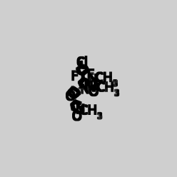 Cc1nc2c(-c3c(F)cc(Cl)cc3F)cc([C@H]3CCO[C@@H](c4ccc(=O)n(C)c4)C3)nn2c(=O)c1C